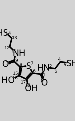 O=C(NCCS)c1sc(C(=O)NCCS)c(O)c1O